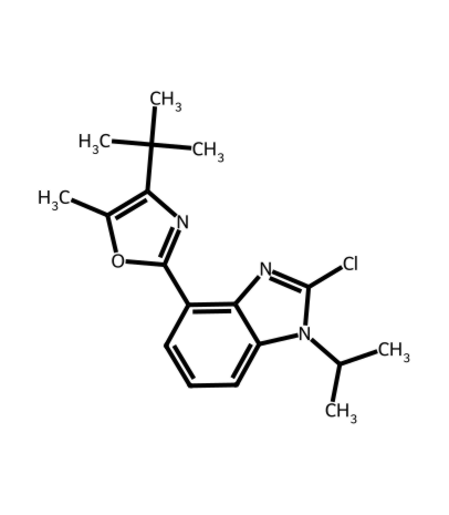 Cc1oc(-c2cccc3c2nc(Cl)n3C(C)C)nc1C(C)(C)C